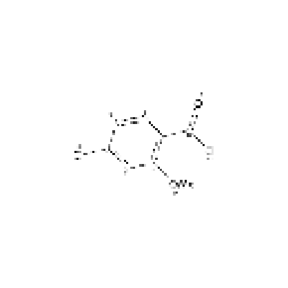 COc1cc(Cl)ncc1C(=O)Cl